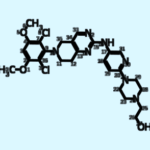 COc1cc(OC)c(Cl)c(N2CCc3nc(Nc4ccc(N5CCN(CCO)CC5)nc4)ncc3C2)c1Cl